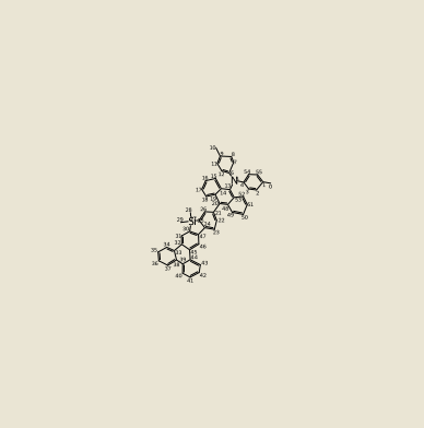 Cc1ccc(N(c2ccc(C)cc2)c2c3ccccc3c(-c3ccc4c(c3)[Si](C)(C)c3cc5c6ccccc6c6ccccc6c5cc3-4)c3ccccc23)cc1